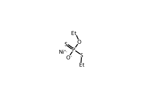 CCOP([O-])(=S)SCC.[Ni+]